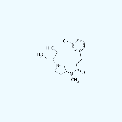 CCC(CC)N1CCC(N(C)C(=O)/C=C/c2cccc(Cl)c2)C1